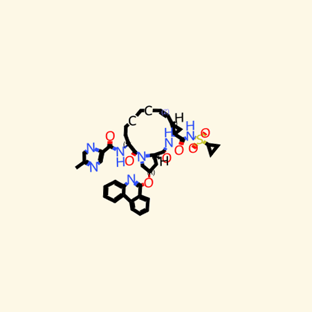 Cc1cnc(C(=O)N[C@H]2CCCCC/C=C\[C@@H]3CC3(C(=O)NS(=O)(=O)C3CC3)NC(=O)[C@@H]3C[C@@H](Oc4nc5ccccc5c5ccccc45)CN3C2=O)cn1